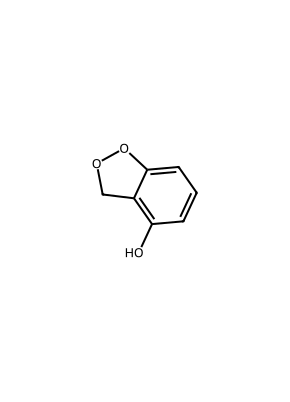 Oc1cccc2c1COO2